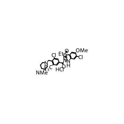 CCS(=O)(=O)c1cc(OC)c(Cl)cc1NNC(=O)c1cc(Cl)c(CN2CCC[C@H](NC)C2)c(C(F)(F)F)c1.Cl